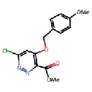 COC(=O)c1nnc(Cl)cc1OCc1ccc(OC)cc1